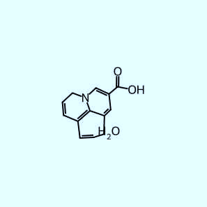 O.O=C(O)C1=CN2CC=CC3=C2C(=C1)CC=C3